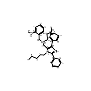 CCCCCn1c(-c2ccccc2)nc(-c2ccccc2)c1CN(CCCC)Cc1ccccc1OC